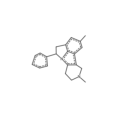 Cc1cc2c3c(c1)c1c(n3C(c3ccccc3)C2)CCN(C)C1